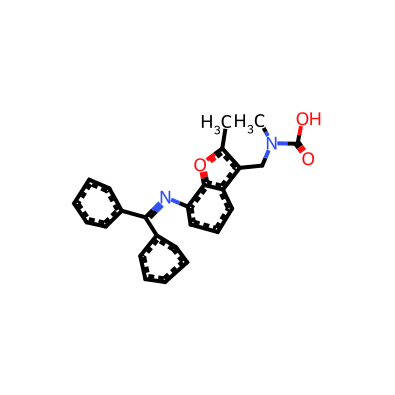 Cc1oc2c(N=C(c3ccccc3)c3ccccc3)cccc2c1CN(C)C(=O)O